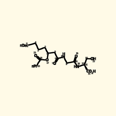 CCCCCCCCCCCCCC(CC(=O)NCC(=O)N[C@@H](CO)C(=O)O)OC(=O)CCC